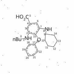 CCCCNc1cc(C(=O)O)cc(NC2CCCCC2)c1Oc1ccccc1